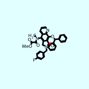 COC(=O)C(=O)N(C)c1c2c(c(OC(c3ccccc3)c3ccccc3)c3ncccc13)C(=O)N(Cc1ccc(F)cc1)C2